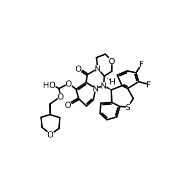 O=C1c2c(OC(O)OCC3CCOCC3)c(=O)ccn2N([C@@H]2c3ccccc3SCc3c2ccc(F)c3F)[C@@H]2COCCN12